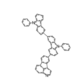 c1ccc(-n2c3ccccc3c3cc(-c4ccc5c(c4)c4cc(-c6ccc7c(c6)-c6ccnc8cccc-7c68)ccc4n5-c4ccccc4)ccc32)cc1